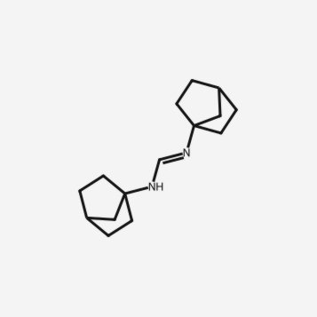 C(=NC12CCC(CC1)C2)NC12CCC(CC1)C2